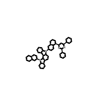 c1ccc(-c2cc(-c3cccc4cc(-n5c6ccccc6c6c5ccc5c7ccccc7n(-c7ccc8ccccc8c7)c56)ccc34)nc(-c3ccccc3)n2)cc1